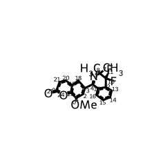 COc1cc(C2=NC(C)(C)C(F)(F)c3ccccc32)cc2ccc(=O)oc12